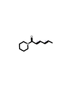 C/C=C/C=C/C(=O)N1CCCCC1